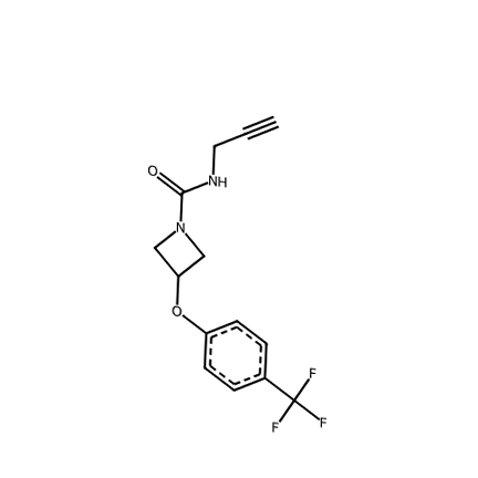 C#CCNC(=O)N1CC(Oc2ccc(C(F)(F)F)cc2)C1